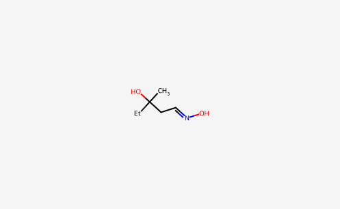 CCC(C)(O)CC=NO